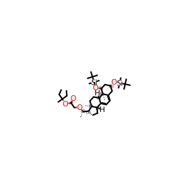 CCC(C)(CC)OC(=O)CO[C@@H](C)[C@H]1CC[C@H]2C3=CC=C4C[C@@H](O[Si](C)(C)C(C)(C)C)C[C@H](O[Si](C)(C)C(C)(C)C)[C@]4(C)[C@H]3CC[C@]12C